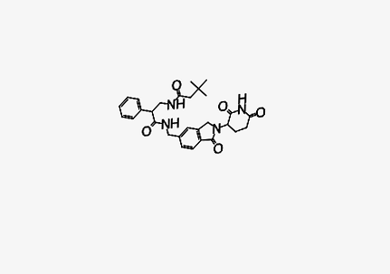 CC(C)(C)CC(=O)NCC(C(=O)NCc1ccc2c(c1)CN(C1CCC(=O)NC1=O)C2=O)c1ccccc1